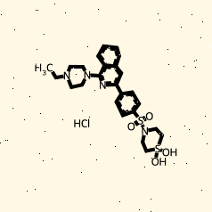 CCN1CCN(c2nc(-c3ccc(S(=O)(=O)N4CCS(O)(O)CC4)cc3)cc3ccccc23)CC1.Cl